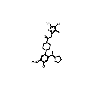 COc1cc(N2CCN(C(=O)Cn3nc(C(F)(F)F)c(Cl)c3C)CC2)c(C(C)N2CCCC2)cc1Cl